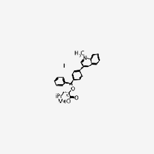 COC(=O)[C@H](CC(C)C)O[C@H](c1ccccc1)c1ccc(-c2cc3ccccc3[n+](C)c2)cc1.[I-]